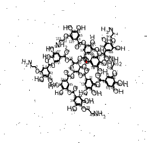 NCCOc1cc(C(=O)Oc2cc(C(=O)OCC3OC(OC(=O)c4cc(O)c(O)c(OC(=O)c5cc(O)c(OCCN)c(O)c5)c4)C(OC(=O)c4cc(O)c(O)c(OC(=O)c5cc(O)c(O)c(OCCN)c5)c4)C(OC(=O)c4cc(O)c(O)c(OC(=O)c5cc(O)c(OCCN)c(O)c5)c4)C3OC(=O)c3cc(O)c(O)c(OC(=O)c4cc(O)c(O)c(OCCN)c4)c3)cc(O)c2O)cc(O)c1O